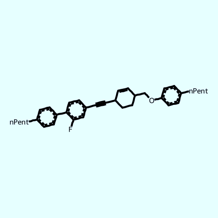 CCCCCc1ccc(OCC2C=CC(C#Cc3ccc(-c4ccc(CCCCC)cc4)c(F)c3)CC2)cc1